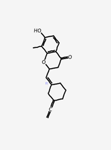 C=C=C1CCC/C(=C\C2CC(=O)c3ccc(O)c(C)c3O2)C1